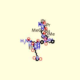 CC[C@H](NC(=O)CCCCCN1C(=O)C=CC1=O)C(=O)N[C@@H](CCCNC(N)=O)C(=O)Nc1ccc(NC(=O)[C@H](Cc2ccccc2)NC(=O)[C@H](C)[C@@H](OC)[C@@H]2CCCN2C(=O)C[C@@H](OC)[C@H]([C@@H](C)CC)N(C)C(=O)[C@@H](NC(=O)[C@H](C(C)C)N(C)C)C(C)C)cc1